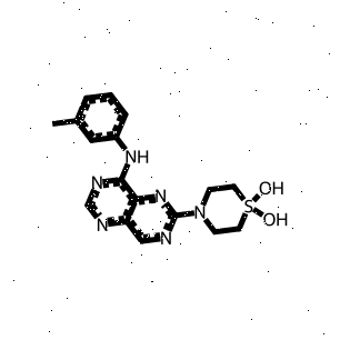 Cc1cccc(Nc2ncnc3cnc(N4CCS(O)(O)CC4)nc23)c1